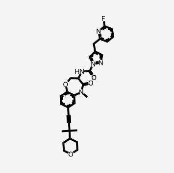 CN1C(=O)C(NC(=O)n2cc(Cc3cccc(F)n3)cn2)COc2ccc(C#CC(C)(C)C3CCOCC3)cc21